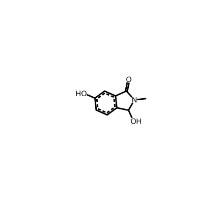 CN1C(=O)c2cc(O)ccc2C1O